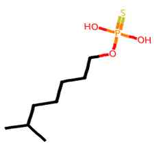 CC(C)CCCCCOP(O)(O)=S